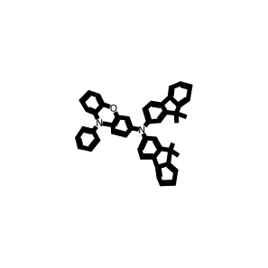 CC1(C)c2ccccc2-c2ccc(N(c3ccc4c(c3)Oc3ccccc3N4c3ccccc3)c3ccc4c(c3)C(C)(C)c3ccccc3-4)cc21